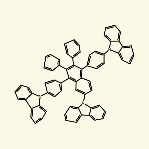 c1ccc(-c2c(-c3ccccc3)c(-c3ccc(-n4c5ccccc5c5ccccc54)cc3)c3cc(-n4c5ccccc5c5ccccc54)ccc3c2-c2ccc(-n3c4ccccc4c4ccccc43)cc2)cc1